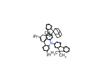 CC(C)C1=CC(c2ccc(C(C)C)cc2N(c2ccc3c(c2)C(C)(C)c2ccccc2-3)c2ccc3c(c2)C2(c4ccccc4-3)C3CC4CC(C3)CC2C4)=CC(C)(C(C)C)C1